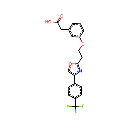 O=C(O)Cc1cccc(OCCc2nc(-c3ccc(C(F)(F)F)cc3)co2)c1